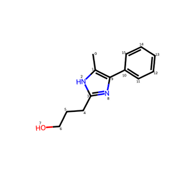 Cc1[nH]c(CCCO)nc1-c1ccccc1